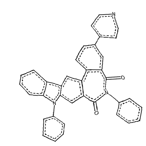 O=c1c2cc(-c3ccncc3)ccc2c2cc3c4ccccc4n(-c4ccccc4)c3cc2c(=O)n1-c1ccccc1